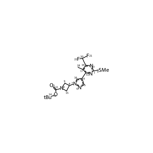 CSc1nc(-c2cnn(C3CN(C(=O)OC(C)(C)C)C3)c2)c(C)c(C(F)F)n1